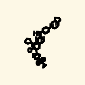 O=c1c(-c2cc(S(=O)(=O)C3CC3)cs2)cc2cnc(Nc3ccc(N4CCN5CCCC5C4)cc3)nc2n1C1CCCC1